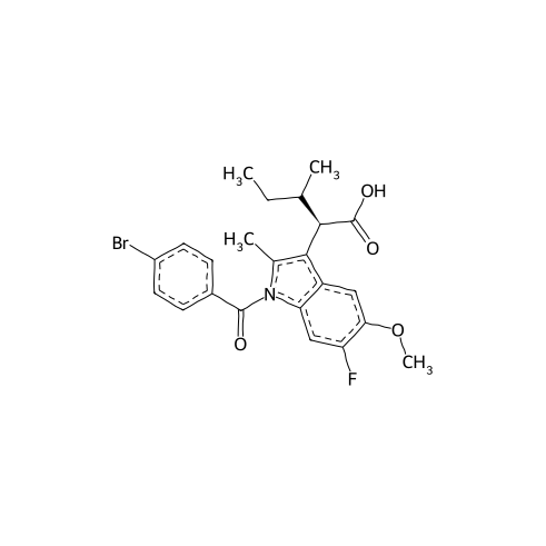 CCC(C)[C@@H](C(=O)O)c1c(C)n(C(=O)c2ccc(Br)cc2)c2cc(F)c(OC)cc12